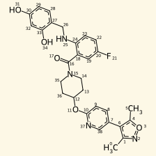 Cc1noc(C)c1-c1ccc(OC2CCN(C(=O)c3cc(F)ccc3NCc3ccc(O)cc3O)CC2)nc1